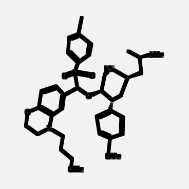 COCCCN1CCOc2ccc(C(O[C@H]3CN[C@@H](C[C@@H](C)SC)C[C@@H]3c3ccc(OC)cc3)S(=O)(=O)c3ccc(C)cc3)cc21